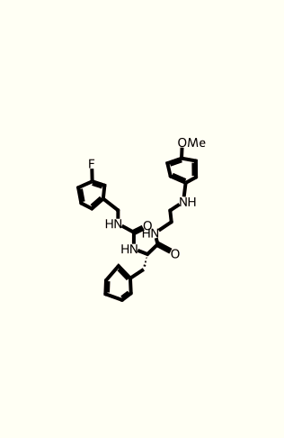 COc1ccc(NCCNC(=O)[C@H](Cc2ccccc2)NC(=O)NCc2cccc(F)c2)cc1